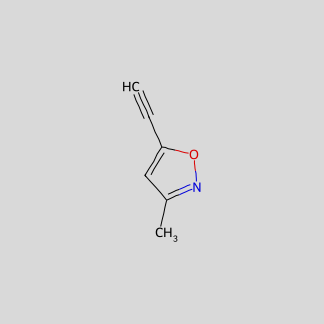 C#Cc1cc(C)no1